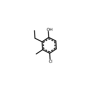 CCc1c(O)ccc(Cl)c1C